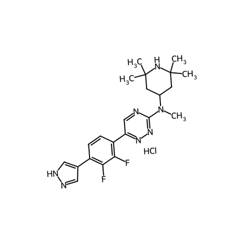 CN(c1ncc(-c2ccc(-c3cn[nH]c3)c(F)c2F)nn1)C1CC(C)(C)NC(C)(C)C1.Cl